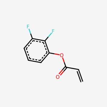 C=CC(=O)Oc1cccc(F)c1F